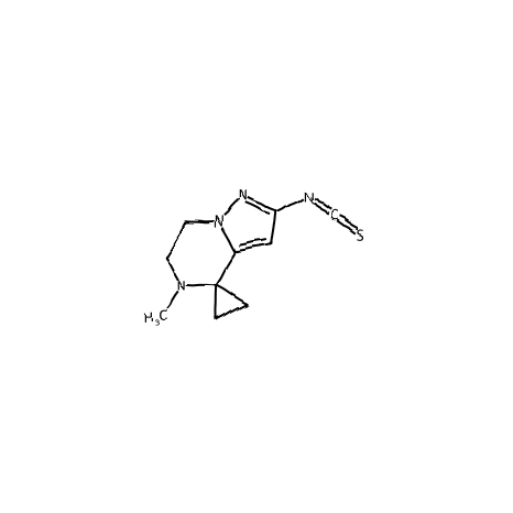 CN1CCn2nc(N=C=S)cc2C12CC2